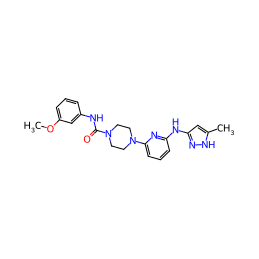 COc1cccc(NC(=O)N2CCN(c3cccc(Nc4cc(C)[nH]n4)n3)CC2)c1